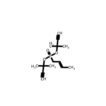 C#CC(C)(C)OP(=O)(CC=CC)OC(C)(C)C#C